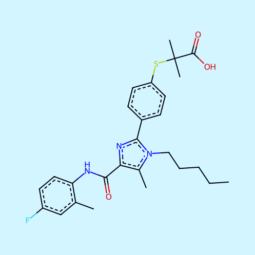 CCCCCn1c(-c2ccc(SC(C)(C)C(=O)O)cc2)nc(C(=O)Nc2ccc(F)cc2C)c1C